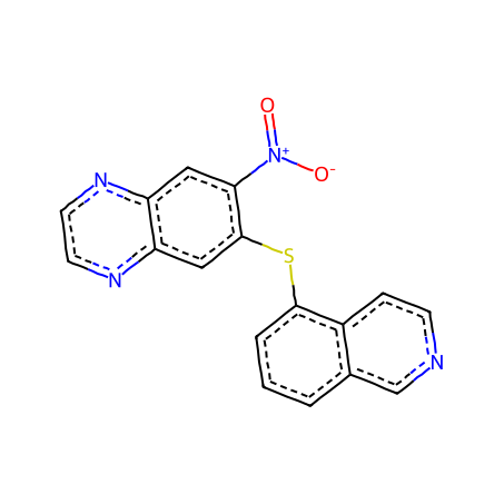 O=[N+]([O-])c1cc2nccnc2cc1Sc1cccc2cnccc12